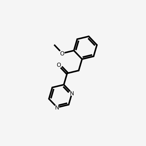 COc1ccccc1CC(=O)c1ccncn1